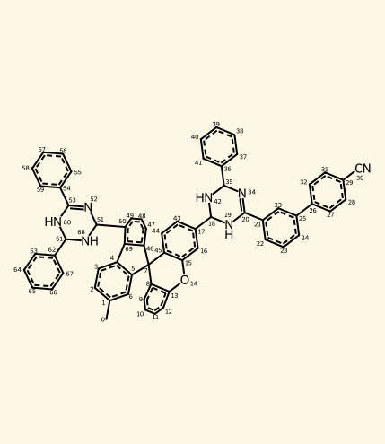 Cc1ccc2c(c1)C1(c3ccccc3Oc3cc(C4NC(c5cccc(-c6ccc(C#N)cc6)c5)=NC(c5ccccc5)N4)ccc31)c1cccc(C3N=C(c4ccccc4)NC(c4ccccc4)N3)c1-2